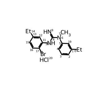 CCc1cccc(N(C)C(=N)Nc2cc(CC)ccc2Br)c1.Cl